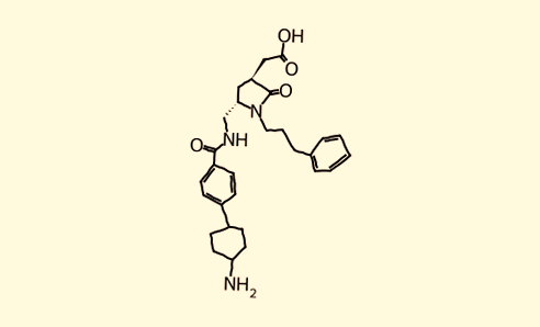 NC1CCC(c2ccc(C(=O)NC[C@@H]3C[C@@H](CC(=O)O)C(=O)N3CCCc3ccccc3)cc2)CC1